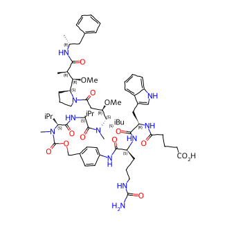 CC[C@H](C)[C@@H]([C@@H](CC(=O)N1CCC[C@H]1[C@H](OC)[C@@H](C)C(=O)N[C@H](C)Cc1ccccc1)OC)N(C)C(=O)[C@@H](NC(=O)[C@H](C(C)C)N(C)C(=O)OCc1ccc(NC(=O)[C@H](CCCNC(N)=O)NC(=O)[C@@H](Cc2c[nH]c3ccccc23)NC(=O)CCCC(=O)O)cc1)C(C)C